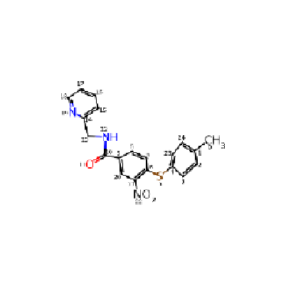 Cc1ccc(Sc2ccc(C(=O)NCc3ccccn3)cc2[N+](=O)[O-])cc1